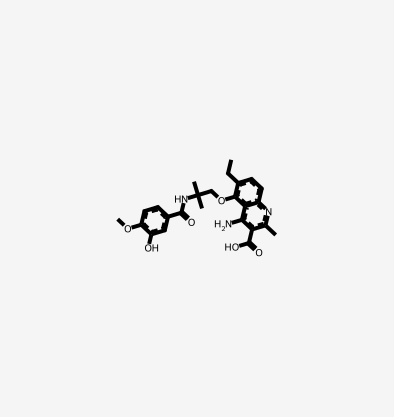 CCc1ccc2nc(C)c(C(=O)O)c(N)c2c1OCC(C)(C)NC(=O)c1ccc(OC)c(O)c1